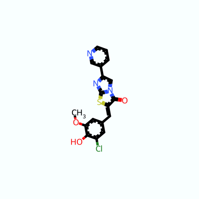 COc1cc(/C=c2\sc3nc(-c4cccnc4)cn3c2=O)cc(Cl)c1O